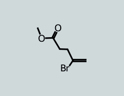 C=C(Br)CCC(=O)OC